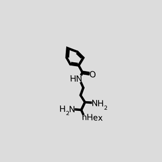 CCCCCCC(N)C(N)CCNC(=O)c1ccccc1